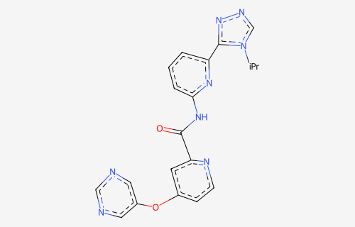 CC(C)n1cnnc1-c1cccc(NC(=O)c2cc(Oc3cncnc3)ccn2)n1